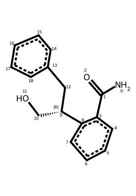 NC(=O)c1ccccc1[C@H](CO)Cc1ccccc1